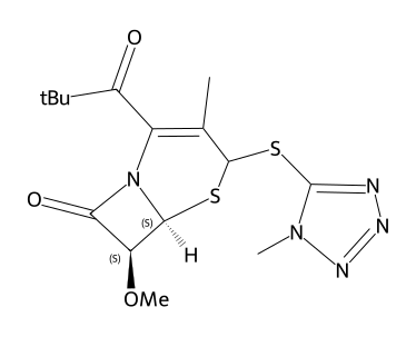 CO[C@H]1C(=O)N2C(C(=O)C(C)(C)C)=C(C)C(Sc3nnnn3C)S[C@@H]12